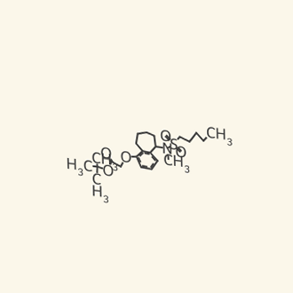 CCCCCS(=O)(=O)N(C)C1CCCCc2c(OCC(=O)OC(C)(C)C)cccc21